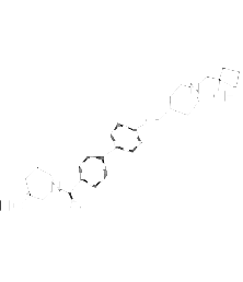 CC1(CN2CCC(COc3ccc(-c4ccc(C(=O)N5CCC[C@H](O)C5)cc4)cc3)CC2)CCC1